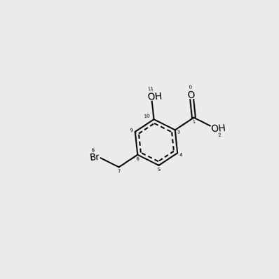 O=C(O)c1ccc(CBr)cc1O